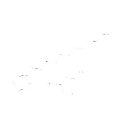 CCCC(=O)O.CCCCCCCCCCCCc1ccccc1.O